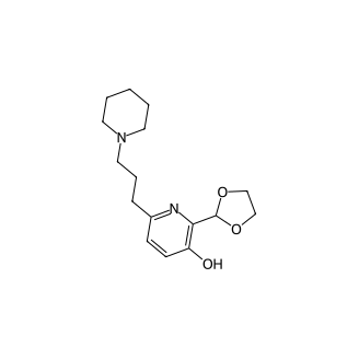 Oc1ccc(CCCN2CCCCC2)nc1C1OCCO1